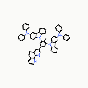 Cc1c(-n2c3ccccc3c3cc(N(c4ccccc4)c4ccccc4)ccc32)cc(-c2cnc3c(ccc4cccnc43)c2)cc1-n1c2ccccc2c2cc(N(c3ccccc3)c3ccccc3)ccc21